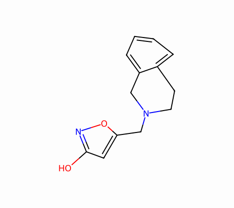 Oc1cc(CN2CCc3ccccc3C2)on1